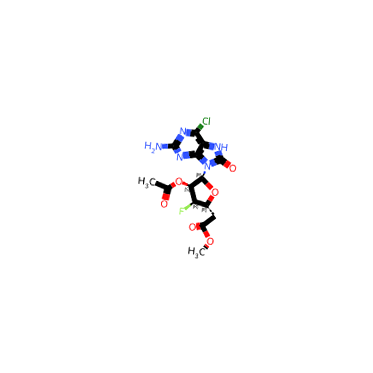 COC(=O)C[C@H]1O[C@@H](n2c(=O)[nH]c3c(Cl)nc(N)nc32)[C@H](OC(C)=O)[C@@H]1F